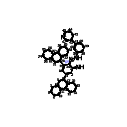 N=C1C=C(c2cc3ccccc3c3ccccc23)C=C(c2cc3ccccc3c3ccccc23)/C1=N/Nc1cccc(-c2cccnc2)c1